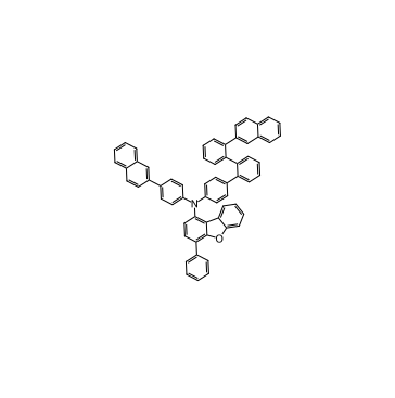 c1ccc(-c2ccc(N(c3ccc(-c4ccc5ccccc5c4)cc3)c3ccc(-c4ccccc4-c4ccccc4-c4ccc5ccccc5c4)cc3)c3c2oc2ccccc23)cc1